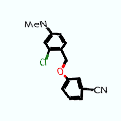 CNc1ccc(COc2cccc(C#N)c2)c(Cl)c1